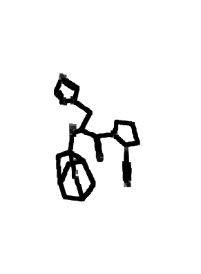 N#C[C@@H]1CCCN1C(=O)C(Cn1cncn1)NC12CC3CC(CC1C3)C2